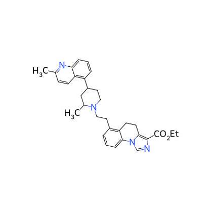 CCOC(=O)c1ncn2c1CCc1c(CCN3CCC(c4cccc5nc(C)ccc45)CC3C)cccc1-2